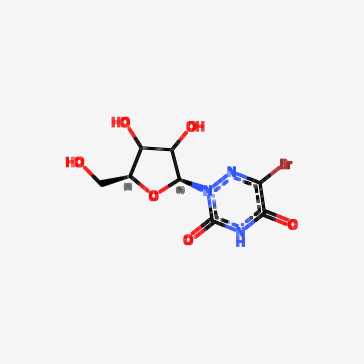 O=c1[nH]c(=O)n([C@H]2O[C@@H](CO)C(O)C2O)nc1Br